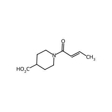 C/C=C/C(=O)N1CCC(C(=O)O)CC1